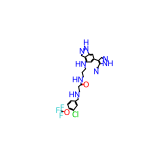 N#Cc1[nH]ncc1-c1cc(NCCCNC(=O)CCNCc2ccc(OC(F)(F)F)c(Cl)c2)c2cn[nH]c2c1